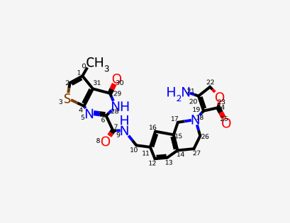 Cc1csc2nc(C(=O)NCc3ccc4c(c3)CN(C3=C(N)COC3=O)CC4)[nH]c(=O)c12